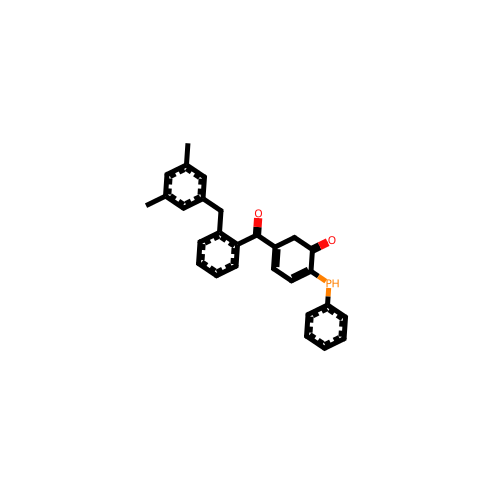 Cc1cc(C)cc(Cc2ccccc2C(=O)C2=CC=C(Pc3ccccc3)C(=O)C2)c1